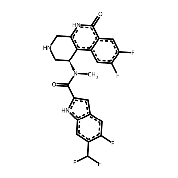 CN(C(=O)c1cc2cc(F)c(C(F)F)cc2[nH]1)[C@H]1CNCc2[nH]c(=O)c3cc(F)c(F)cc3c21